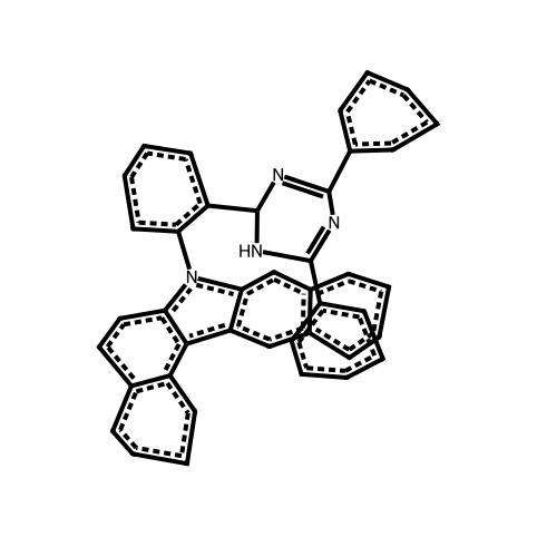 c1ccc(C2=NC(c3ccccc3-n3c4cc5ccccc5cc4c4c5ccccc5ccc43)NC(c3ccccc3)=N2)cc1